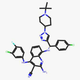 CC(C)(C)N1CCC(n2cc([C@@H](Nc3cccc4c(Nc5ccc(F)c(Cl)c5)c(C#N)c(N)nc34)c3ccc(Cl)cc3)nn2)CC1